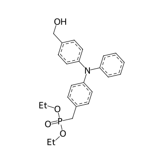 CCOP(=O)(Cc1ccc(N(c2ccccc2)c2ccc(CO)cc2)cc1)OCC